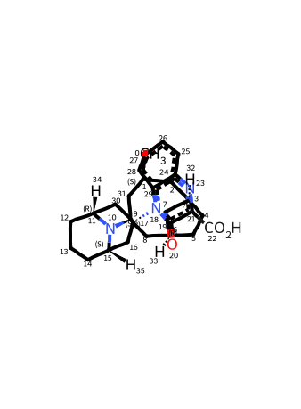 C[C@H]1C[C@H]2CC[C@H](C2)C[C@@H](N2[C@@H]3CCC[C@H]2C[C@@H](n2c(=O)c(C(=O)O)nc4ccccc42)C3)C1